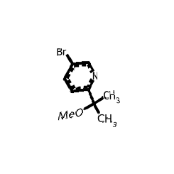 COC(C)(C)c1ccc(Br)cn1